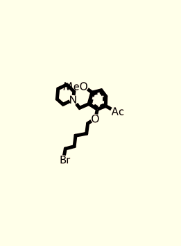 COc1ccc(C(C)=O)c(OCCCCCBr)c1CN1CCCCC1